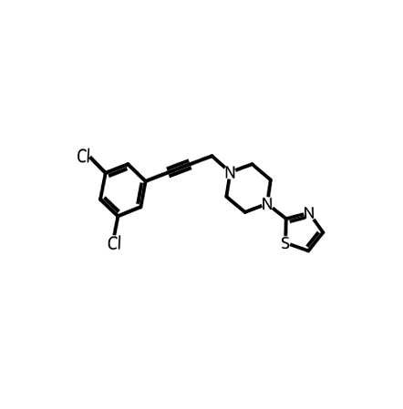 Clc1cc(Cl)cc(C#CCN2CCN(c3nccs3)CC2)c1